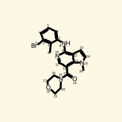 Cc1c(Br)cccc1Nc1ncc(C(=O)N2CCOCC2)c2c1ccn2C